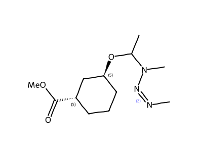 C/N=N\N(C)C(C)O[C@H]1CCC[C@H](C(=O)OC)C1